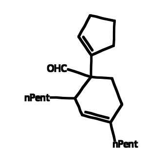 CCCCCC1=CC(CCCCC)C(C=O)(C2=CCCC2)CC1